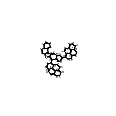 c1ccc2c(c1)ccc1oc3c(-c4ccc5ccc6cccc7ccc4c5c67)c4ccc(-c5ccc6ccc7cccc8ccc5c6c78)cc4cc3c12